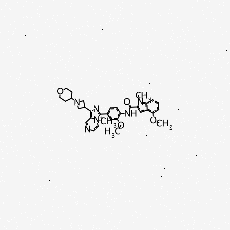 COc1cc(C2=NC(C3CN(C4CCOCC4)C3)=C3C=NC=C[N+]23C)ccc1NC(=O)c1cc2c(OC)cccc2n1C